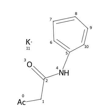 CC(=O)CC(=O)Nc1ccccc1.[K]